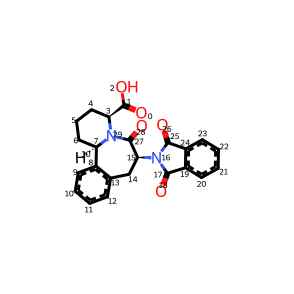 O=C(O)[C@@H]1CCC[C@@H]2c3ccccc3C[C@H](N3C(=O)c4ccccc4C3=O)C(=O)N21